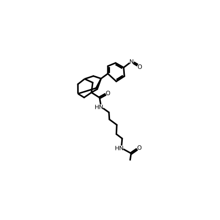 CC(=O)NCCCCCNC(=O)C12CC3CC(C1)CC(c1ccc(N=O)cc1)(C3)C2